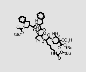 CC(C)CC(NC(=O)C(Cc1ccccc1)NC(=O)C(CNC(=O)OC(C)(C)C)Cc1ccccc1)C(=O)NC(CCCCNC(=O)OC(C)(C)C)C(=O)N1CCC(C(=O)O)(C(=O)OC(C)(C)C)CC1N